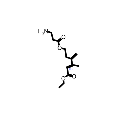 C=C(CCOC(=O)CCN)/C(C)=C/C(=O)OCC